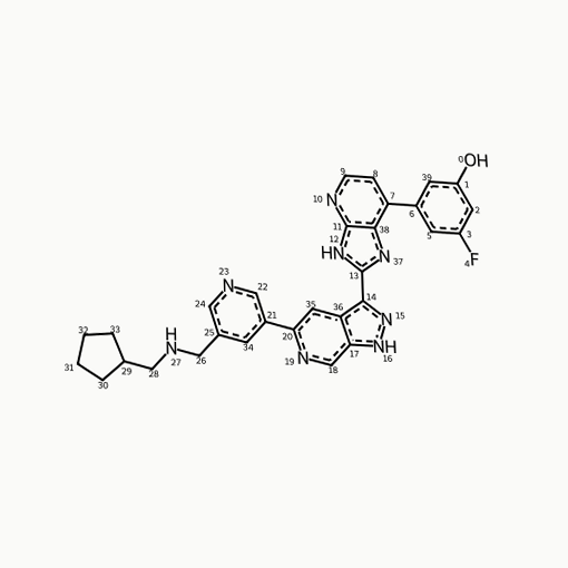 Oc1cc(F)cc(-c2ccnc3[nH]c(-c4n[nH]c5cnc(-c6cncc(CNCC7CCCC7)c6)cc45)nc23)c1